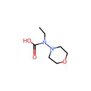 CCN(C(=O)O)N1CCOCC1